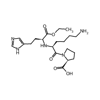 CCOC(=O)[C@H](CCc1cnc[nH]1)N[C@@H](CCCCN)C(=O)N1CCC[C@H]1C(=O)O